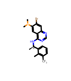 Cc1c([C@@H](C)Nc2ncnc3cc(Br)c(P(C)C)cc23)cccc1C(F)(F)F